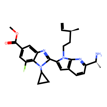 C=C[C@@H](C)CCn1c(-c2nc3cc(C(=O)OC)cc(F)c3n2C2CC2)cc2ccc([C@@H](C)N)nc21